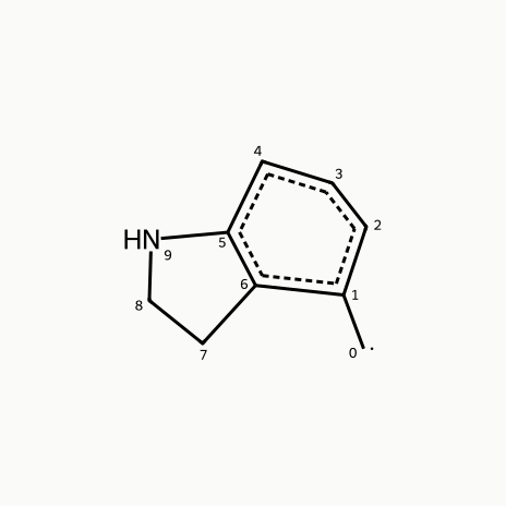 [CH2]c1cccc2c1CCN2